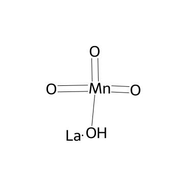 [La].[O]=[Mn](=[O])(=[O])[OH]